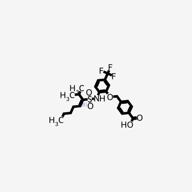 CCCC/C=C(\C(C)C)S(=O)(=O)Nc1ccc(C(F)(F)F)cc1OCc1ccc(C(=O)O)cc1